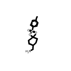 Cc1ccc(S(=O)(=O)OC2(C)CCC(CN)CC2)cc1